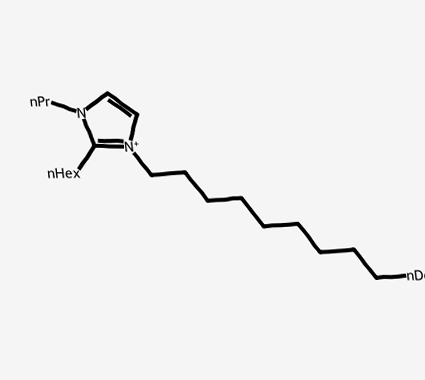 CCCCCCCCCCCCCCCCCCC[n+]1ccn(CCC)c1CCCCCC